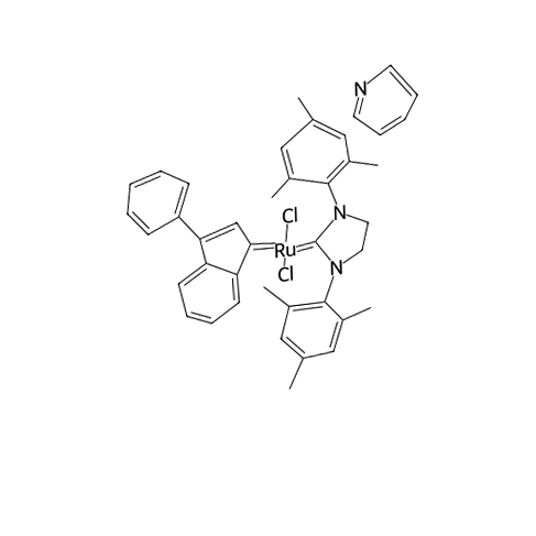 Cc1cc(C)c(N2CCN(c3c(C)cc(C)cc3C)[C]2=[Ru]([Cl])([Cl])=[C]2C=C(c3ccccc3)c3ccccc32)c(C)c1.c1ccncc1